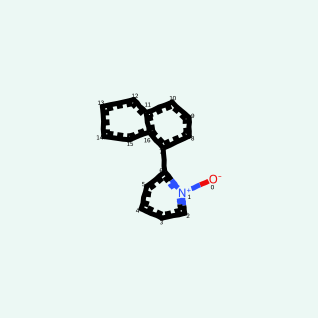 [O-][n+]1ccccc1-c1cccc2ccccc12